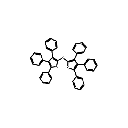 c1ccc(-c2sc(Sc3sc(-c4ccccc4)c(-c4ccccc4)c3-c3ccccc3)c(-c3ccccc3)c2-c2ccccc2)cc1